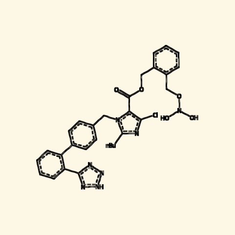 CCCCc1nc(Cl)c(C(=O)OCc2ccccc2CON(O)O)n1Cc1ccc(-c2ccccc2-c2nn[nH]n2)cc1